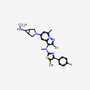 CCc1nn2c(C)cc(N3CC4C(C3)C4NC(=O)O)cc2c1N(C)c1nc(-c2ccc(F)cc2)c(C#N)s1